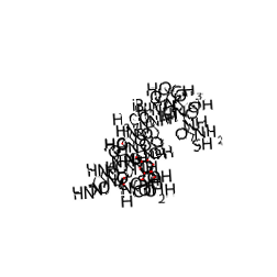 CC[C@H](C)[C@H](NC(=O)[C@@H](NC(=O)[C@H](CO)NC(=O)CNC(=O)[C@@H](N)CS)[C@@H](C)O)C(=O)N[C@@H](Cc1ccc(O)cc1)C(=O)N[C@@H](C)C(=O)N[C@@H](CO)C(=O)N[C@@H](Cc1ccc(O)cc1)C(=O)N[C@@H](Cc1ccc(O)cc1)C(=O)N[C@@H](CCC(=O)O)C(=O)N[C@@H](CO)C(=O)NCC(=O)N[C@@H](Cc1c[nH]cn1)C(=O)NCC(=O)N[C@@H](CS)C(=O)O